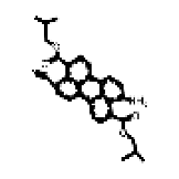 CC(C)COC(=O)c1ccc2c3ccc(C#N)c4c(C(=O)OCC(C)C)ccc(c5ccc(N)c1c25)c43